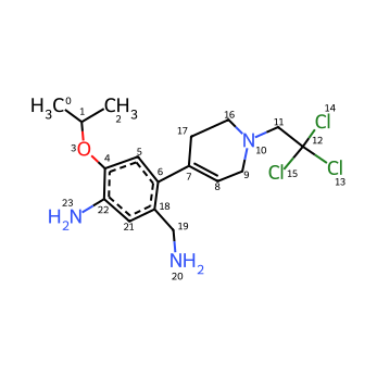 CC(C)Oc1cc(C2=CCN(CC(Cl)(Cl)Cl)CC2)c(CN)cc1N